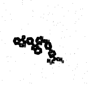 CC(C)N1CCN(c2ccc(Nc3nccc(-c4c(-c5cccc(NC(=O)c6ccccc6Cl)c5)nc5ccccn45)n3)cc2)CC1